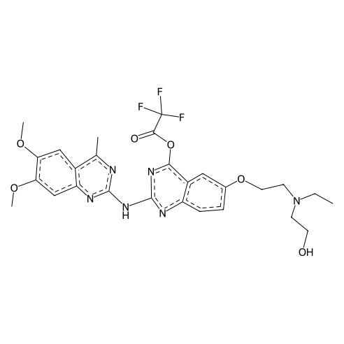 CCN(CCO)CCOc1ccc2nc(Nc3nc(C)c4cc(OC)c(OC)cc4n3)nc(OC(=O)C(F)(F)F)c2c1